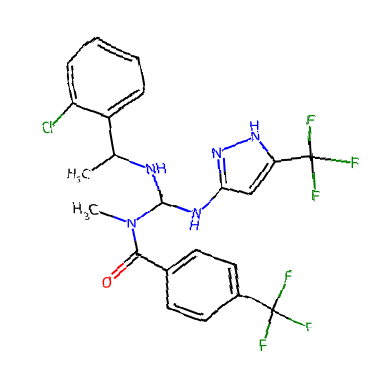 CC(NC(Nc1cc(C(F)(F)F)[nH]n1)N(C)C(=O)c1ccc(C(F)(F)F)cc1)c1ccccc1Cl